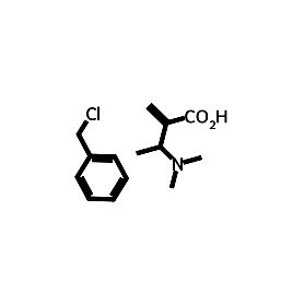 C=C(C(=O)O)C(C)N(C)C.ClCc1ccccc1